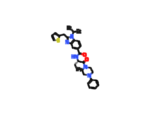 CCC(CC)n1c(Cc2cccs2)nc2cc(C(=O)N[C@@H](CC(C)C)C(=O)N3CCN(c4ccccc4)CC3)ccc21